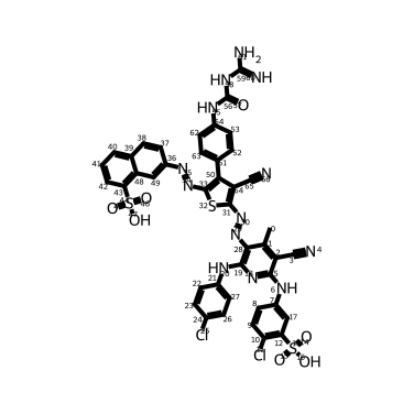 Cc1c(C#N)c(Nc2ccc(Cl)c(S(=O)(=O)O)c2)nc(Nc2ccc(Cl)cc2)c1N=Nc1sc(N=Nc2ccc3cccc(S(=O)(=O)O)c3c2)c(-c2ccc(NC(=O)NC(=N)N)cc2)c1C#N